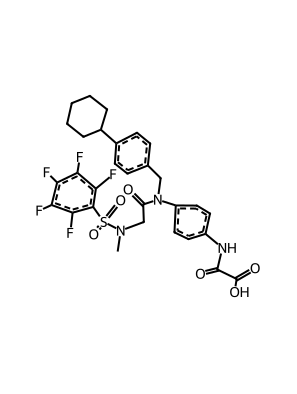 CN(CC(=O)N(Cc1ccc(C2CCCCC2)cc1)c1ccc(NC(=O)C(=O)O)cc1)S(=O)(=O)c1c(F)c(F)c(F)c(F)c1F